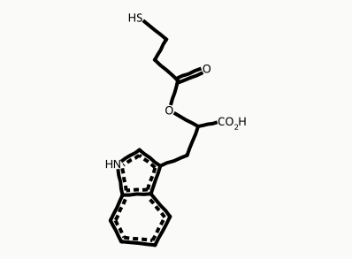 O=C(CCS)OC(Cc1c[nH]c2ccccc12)C(=O)O